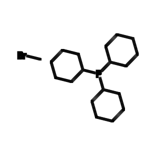 C1CCC(P(C2CCCCC2)C2CCCCC2)CC1.CBr